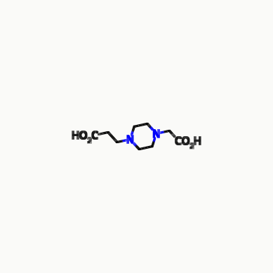 O=C(O)CCN1CCN(CC(=O)O)CC1